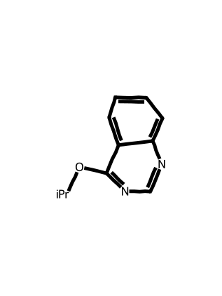 CC(C)Oc1ncnc2ccccc12